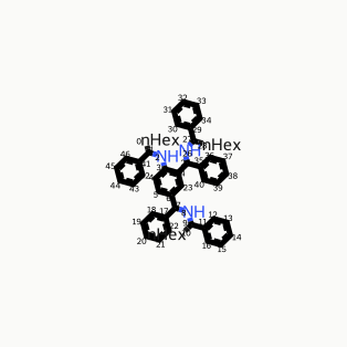 CCCCCCC(Nc1ccc(C(NC(CCCCCC)c2ccccc2)c2ccccc2)cc1C(NC(CCCCCC)c1ccccc1)c1ccccc1)c1ccccc1